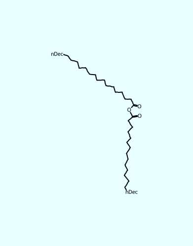 CCCCCCCCCCCCCCCCCCCCCCCCCC(=O)OC(=O)CCCCCCCCCCCCCCCCCCCCCCC